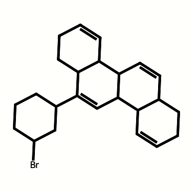 BrC1CCCC(C2=CC3C4C=CCCC4C=CC3C3C=CCCC23)C1